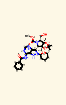 CC(C)(C)OC(=O)N1[C@H](CO)[C@H]2OC(C)(C)O[C@H]2[C@@H]1C1=C2NC=NC(NC(=O)c3ccccc3)=C2NN1C1CCCCO1